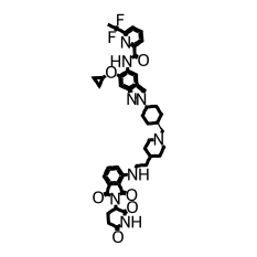 CC(F)(F)c1cccc(C(=O)Nc2cc3cn([C@H]4CC[C@H](CN5CCC(CCNc6cccc7c6C(=O)N(C6CCC(=O)NC6=O)C7=O)CC5)CC4)nc3cc2OC2CC2)n1